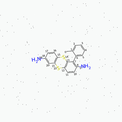 Cc1ccccc1-c1c(N)ccc2c1Sc1ccc(N)cc1S2